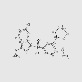 CCc1cn(S(=O)(=O)c2ccc(OC)c(N3CCNCC3)c2)c2cc(Cl)ccc12